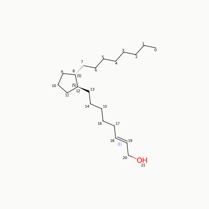 CCCCCCCC[C@H]1CCC[C@@H]1CCCCC/C=C/CO